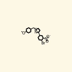 COc1ccc(Cn2ccc(-c3ccc(Br)c([N+](=O)[O-])c3)n2)cc1